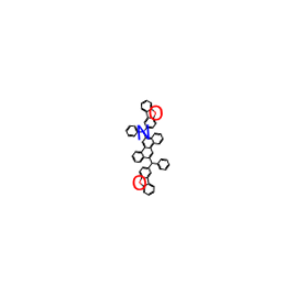 c1ccc(C(c2ccc3oc4ccccc4c3c2)c2cc3c4ccccc4c(N(c4ccccc4)c4ccc5oc6ccccc6c5c4)cc3c3ccccc23)cc1